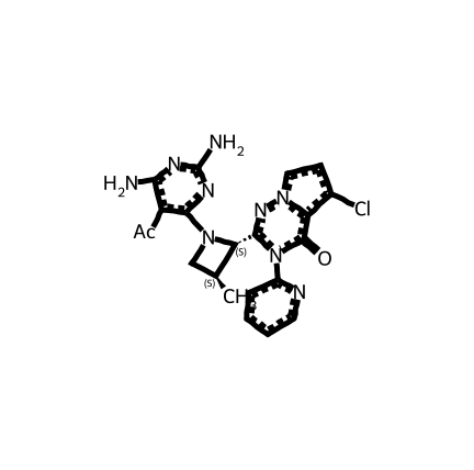 CC(=O)c1c(N)nc(N)nc1N1C[C@H](C)[C@H]1c1nn2ccc(Cl)c2c(=O)n1-c1ccccn1